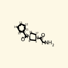 NCC(=O)N1CCN(C(=O)c2ccccc2)CC1